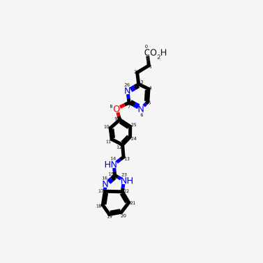 O=C(O)CCc1ccnc(Oc2ccc(CNc3nc4ccccc4[nH]3)cc2)n1